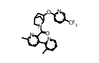 Cc1ccc(-c2ncccc2C)c(C(=O)N2CC3CC(Oc4ccc(C(F)(F)F)cn4)C2C3)n1